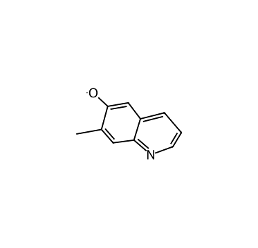 Cc1cc2ncccc2cc1[O]